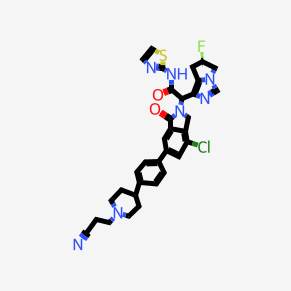 N#CCCN1CCC(c2ccc(-c3cc(Cl)c4c(c3)C(=O)N(C(C(=O)Nc3nccs3)c3ncn5c3C[C@@H](F)C5)C4)cc2)CC1